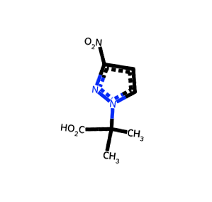 CC(C)(C(=O)O)n1ccc([N+](=O)[O-])n1